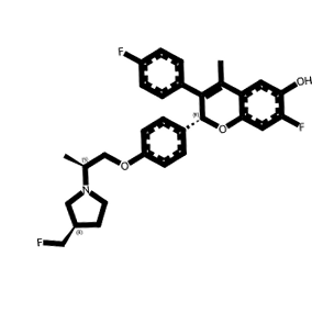 CC1=C(c2ccc(F)cc2)[C@@H](c2ccc(OC[C@H](C)N3CC[C@@H](CF)C3)cc2)Oc2cc(F)c(O)cc21